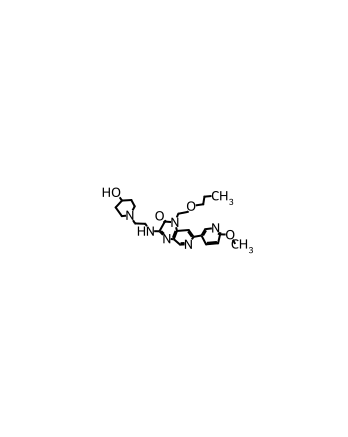 CCCOCCn1c(=O)c(NCCN2CCC(O)CC2)nc2cnc(-c3ccc(OC)nc3)cc21